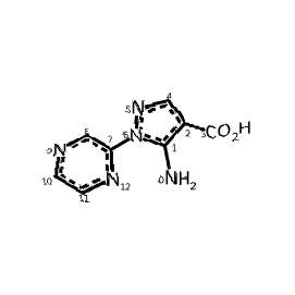 Nc1c(C(=O)O)cnn1-c1cnccn1